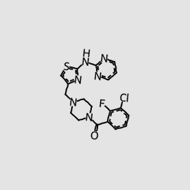 O=C(c1cccc(Cl)c1F)N1CCN(Cc2csc(Nc3ncccn3)n2)CC1